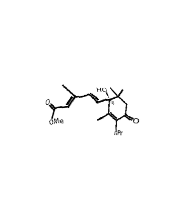 CCCC1=C(C)[C@](O)(C=CC(C)=CC(=O)OC)C(C)(C)CC1=O